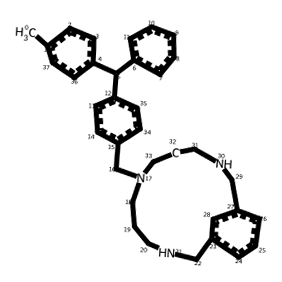 Cc1ccc(C(c2ccccc2)c2ccc(CN3CCCNCc4cccc(c4)CNCCC3)cc2)cc1